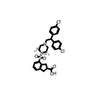 C[C@@H]1CN(CC(c2ccc(Cl)cc2)c2ccc(Cl)cc2)C[C@H](C)N1S(=O)(=O)c1cccc2c1CC(C(=O)O)C2